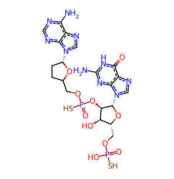 Nc1nc2c(ncn2[C@@H]2O[C@H](COP(=O)(O)S)[C@@H](O)[C@H]2OP(=O)(S)OCC2CC[C@H](n3cnc4c(N)ncnc43)O2)c(=O)[nH]1